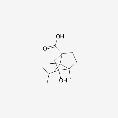 CC(C)C1(O)CC2(C(=O)O)CCC1(C)C2(C)C